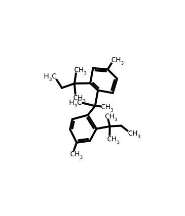 CCC(C)(C)c1cc(C)ccc1C(C)(C)c1ccc(C)cc1C(C)(C)CC